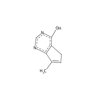 CC1=CCc2c(O)ncnc21